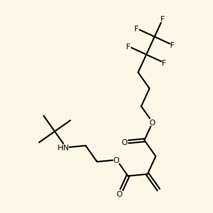 C=C(CC(=O)OCCCC(F)(F)C(F)(F)F)C(=O)OCCNC(C)(C)C